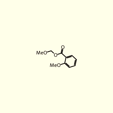 COCOC(=O)c1ccccc1OC